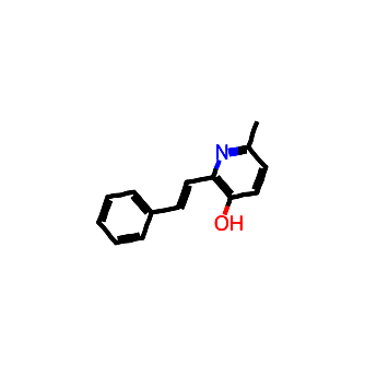 Cc1ccc(O)c(/C=C/c2ccccc2)n1